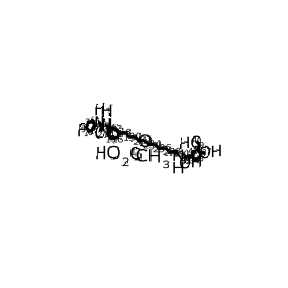 CC(=O)O.O=C(Nc1ccc(F)cc1)Nc1cccc(CCCCOCCCCCCNC[C@H](O)c2ccc(O)c(CO)c2)c1